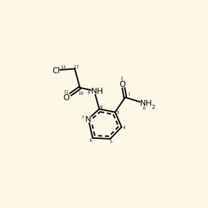 NC(=O)c1cccnc1NC(=O)CCl